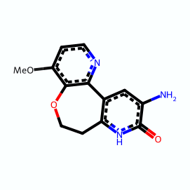 COc1ccnc2c1OCCc1[nH]c(=O)c(N)cc1-2